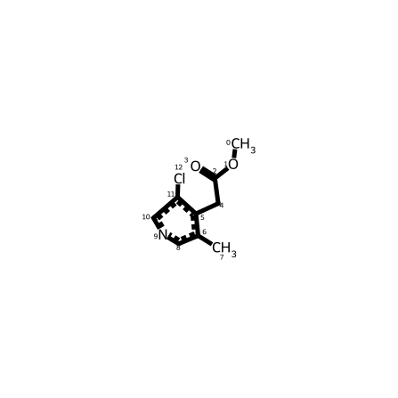 COC(=O)Cc1c(C)cncc1Cl